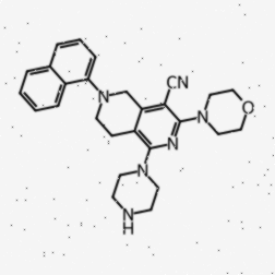 N#Cc1c(N2CCOCC2)nc(N2CCNCC2)c2c1CN(c1cccc3ccccc13)CC2